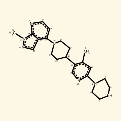 Cc1cc(N2CCNCC2)ncc1C1CCN(c2ccnc3c2cnn3C)CC1